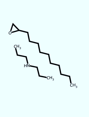 CCCCCCCCCCC1CO1.CCCNCCC